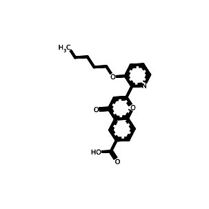 CCCCCOc1cccnc1-c1cc(=O)c2cc(C(=O)O)ccc2o1